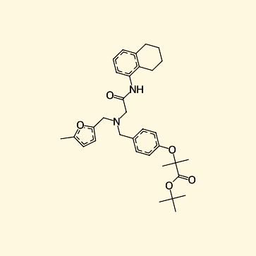 Cc1ccc(CN(CC(=O)Nc2cccc3c2CCCC3)Cc2ccc(OC(C)(C)C(=O)OC(C)(C)C)cc2)o1